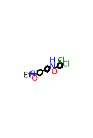 CCN(C)C(=O)[C@H]1CC[C@H](c2ccc(NC(=O)c3ccc(Cl)c(Cl)c3)cc2)CC1